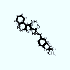 CC1(F)Oc2ccc(CNC(=O)c3sc4nnc5c(c4c3N)CCCC5)cc2O1